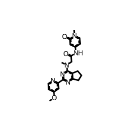 COc1ccnc(-c2nc3c(c(N(C)CC(=O)Nc4ccn(C)c(=O)c4)n2)CCC3)c1